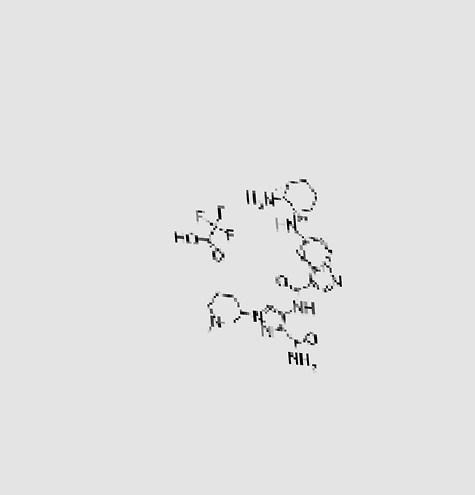 CN1CCCC(n2cc(NC(=O)c3cnn4ccc(N[C@@H]5CCCC[C@@H]5N)nc34)c(C(N)=O)n2)C1.O=C(O)C(F)(F)F